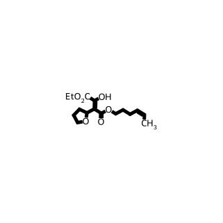 C/C=C\CCCOC(=O)/C(=C(\O)C(=O)OCC)C1CCCO1